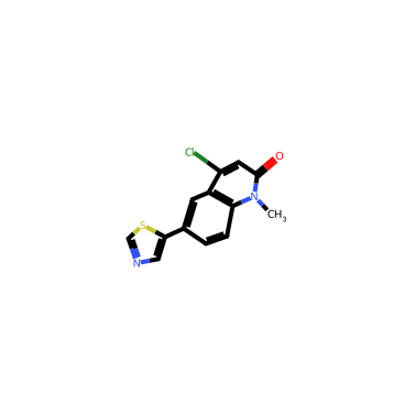 Cn1c(=O)cc(Cl)c2cc(-c3cncs3)ccc21